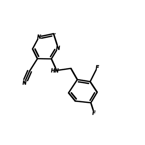 N#Cc1cn[c]nc1NCc1ccc(F)cc1F